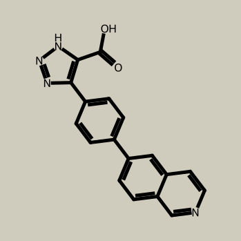 O=C(O)c1[nH]nnc1-c1ccc(-c2ccc3cnccc3c2)cc1